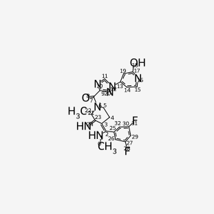 CN/C(=C1/CCN(C(=O)c2ncn(-c3ccnc(O)c3)n2)[C@@H](C)C1=N)c1cc(F)cc(F)c1